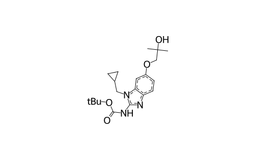 CC(C)(O)COc1ccc2nc(NC(=O)OC(C)(C)C)n(CC3CC3)c2c1